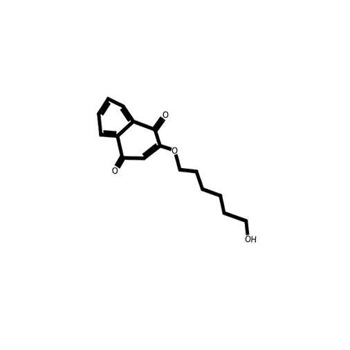 O=C1C=C(OCCCCCCO)C(=O)c2ccccc21